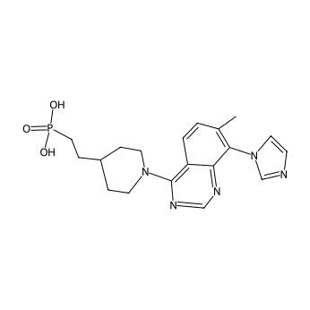 Cc1ccc2c(N3CCC(CCP(=O)(O)O)CC3)ncnc2c1-n1ccnc1